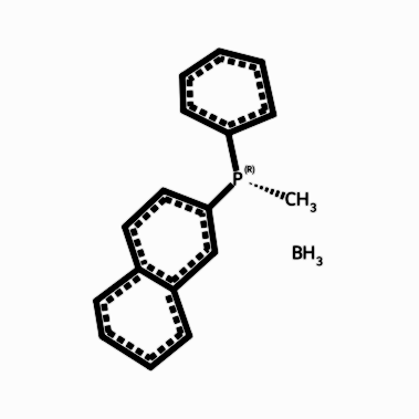 B.C[P@@](c1ccccc1)c1ccc2ccccc2c1